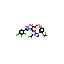 OC[C@H]1O[C@@H](c2nncn2-c2cc(Cl)ccc2OC(F)(F)F)[C@H](OCC(F)F)[C@@H](n2cc(-c3ccc(Br)c(F)c3F)nn2)[C@H]1O